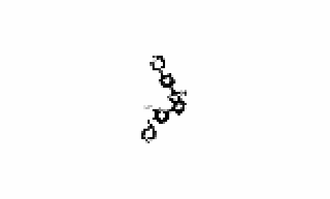 N#Cc1nc(-c2ccnc3[nH]c(-c4ccc(N5CCOCC5)cc4)nc23)ccc1OC1CCOCC1